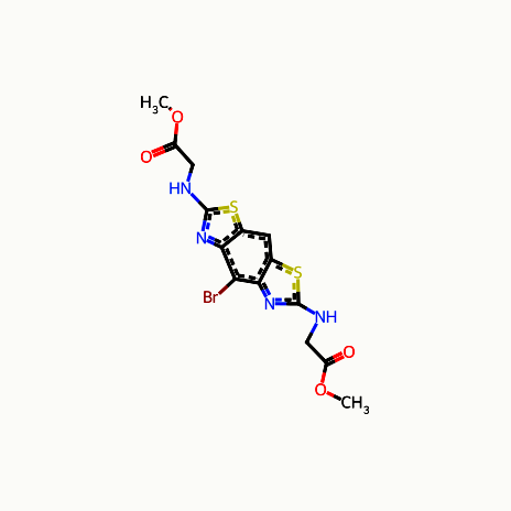 COC(=O)CNc1nc2c(Br)c3nc(NCC(=O)OC)sc3cc2s1